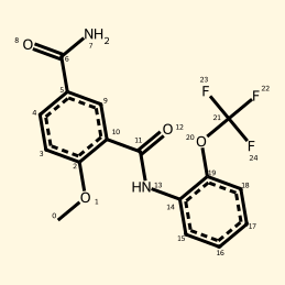 COc1ccc(C(N)=O)cc1C(=O)Nc1ccccc1OC(F)(F)F